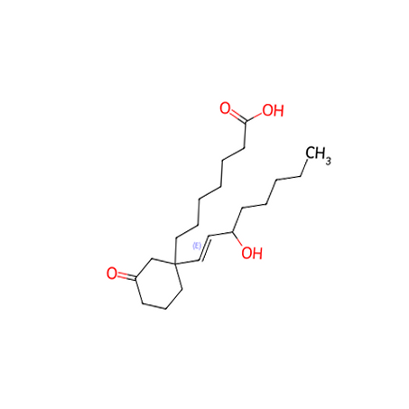 CCCCCC(O)/C=C/C1(CCCCCCC(=O)O)CCCC(=O)C1